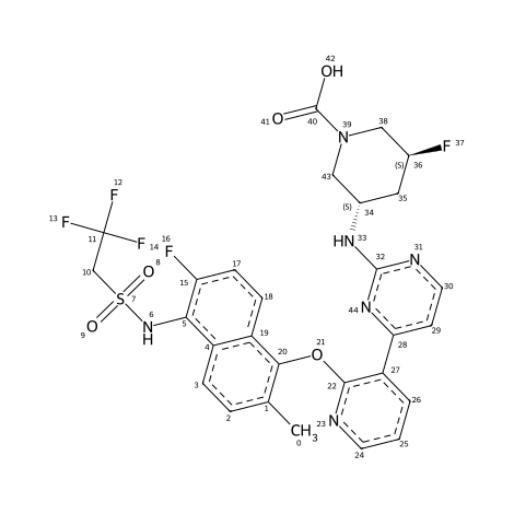 Cc1ccc2c(NS(=O)(=O)CC(F)(F)F)c(F)ccc2c1Oc1ncccc1-c1ccnc(N[C@H]2C[C@H](F)CN(C(=O)O)C2)n1